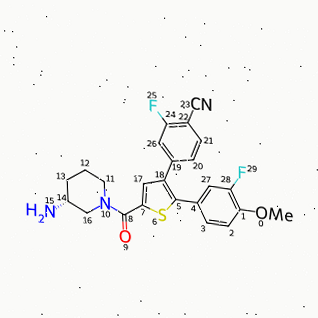 COc1ccc(-c2sc(C(=O)N3CCC[C@@H](N)C3)cc2-c2ccc(C#N)c(F)c2)cc1F